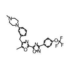 Cc1oc(-c2nc(-c3ccc(OC(F)(F)F)cc3)no2)nc1Cc1cccc(N2CCN(C)CC2)c1